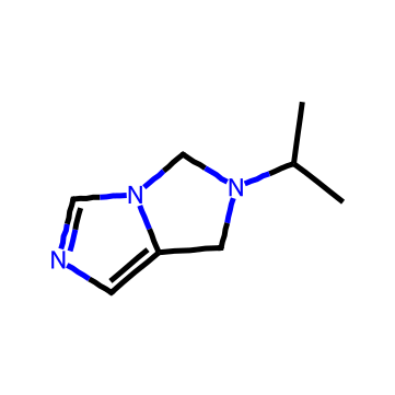 CC(C)N1Cc2cncn2C1